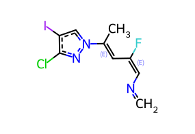 C=N/C=C(F)\C=C(/C)n1cc(I)c(Cl)n1